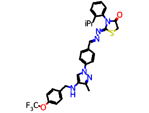 Cc1nn(-c2ccc(/C=N/N=C3\SCC(=O)N3c3ccccc3C(C)C)cc2)cc1NCc1ccc(OC(F)(F)F)cc1